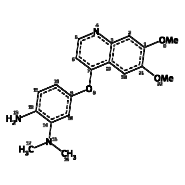 COc1cc2nccc(Oc3ccc(N)c(N(C)C)c3)c2cc1OC